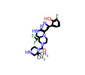 CC1(C)CNCCN1C(=O)N1CCN2c3cc(-c4cccc(F)c4O)nnc3NC[C@]2(C(F)F)C1